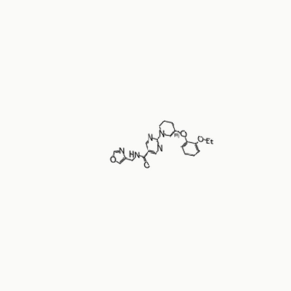 CCOc1ccccc1O[C@@H]1CCCN(c2ncc(C(=O)NCc3cocn3)cn2)C1